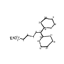 CCOC(=O)CCCCC(C1CCCCC1)C1CCCCC1